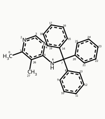 Cc1ncnc(NC(c2ccccc2)(c2ccccc2)c2ccccc2)c1C